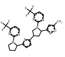 Cc1cc(C2CC(c3ccc(C4CCCN4c4nccc(C(F)(F)F)n4)s3)CN2c2nccc(C(F)(F)F)n2)no1